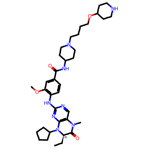 CC[C@@H]1C(=O)N(C)c2cnc(Nc3ccc(C(=O)NC4CCN(CCCCOC5CCNCC5)CC4)cc3OC)nc2N1C1CCCC1